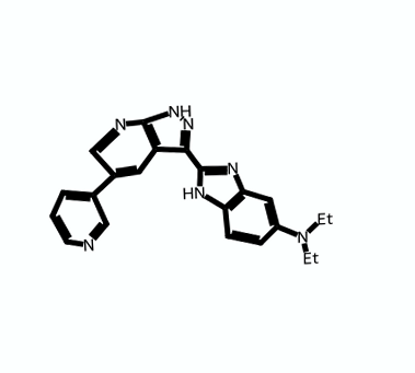 CCN(CC)c1ccc2[nH]c(-c3n[nH]c4ncc(-c5cccnc5)cc34)nc2c1